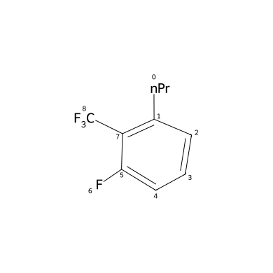 [CH2][CH]Cc1cccc(F)c1C(F)(F)F